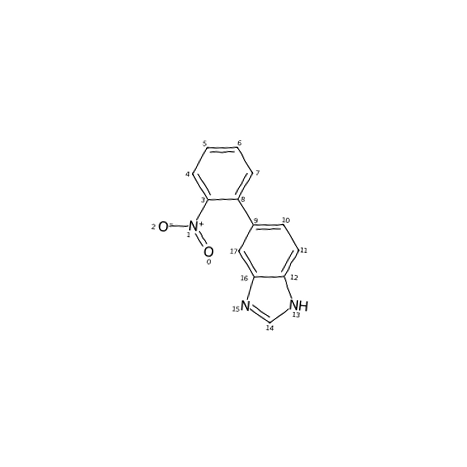 O=[N+]([O-])c1ccccc1-c1ccc2[nH]cnc2c1